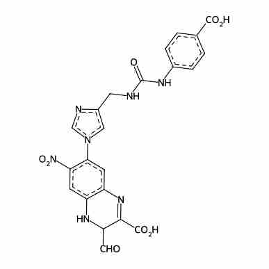 O=CC1Nc2cc([N+](=O)[O-])c(-n3cnc(CNC(=O)Nc4ccc(C(=O)O)cc4)c3)cc2N=C1C(=O)O